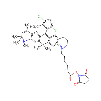 CC1=CC(C)(C)N(C)c2cc3c(cc21)C(c1c(Cl)ccc(Cl)c1C(=O)O)=c1cc2c(cc1C3(C)C)=[N+](CCCCCC(=O)ON1C(=O)CCC1=O)CCC2